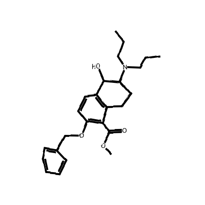 CCCN(CCC)C1CCc2c(ccc(OCc3ccccc3)c2C(=O)OC)C1O